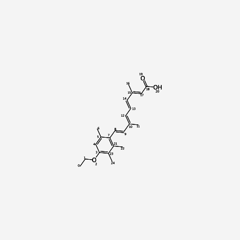 CCOc1cc(C)c(C=CC(C)=CC=CC(C)=CC(=O)O)c(C)c1C